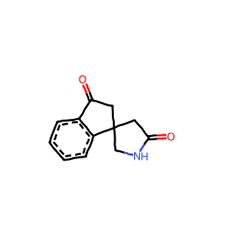 O=C1CC2(CN1)CC(=O)c1ccccc12